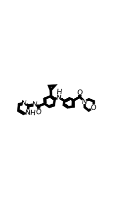 O=C(N=c1nccc[nH]1)c1ccc(Nc2cccc(C(=O)N3CCOCC3)c2)c(C2CC2)c1